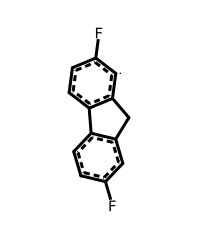 Fc1[c]c2c(cc1)-c1ccc(F)cc1C2